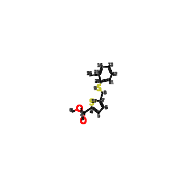 COC(=O)c1ccc(CSc2ccccc2C)s1